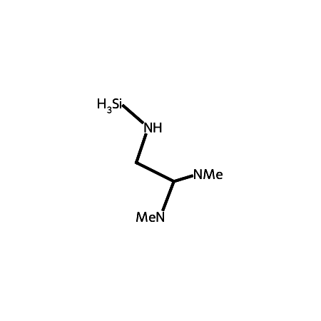 CNC(CN[SiH3])NC